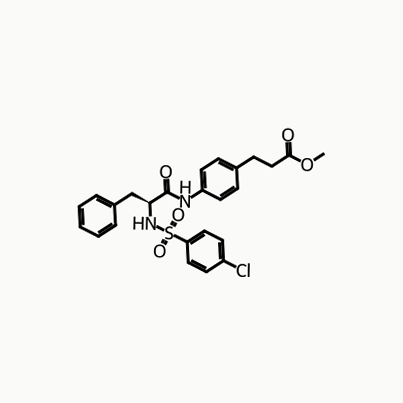 COC(=O)CCc1ccc(NC(=O)[C@H](Cc2ccccc2)NS(=O)(=O)c2ccc(Cl)cc2)cc1